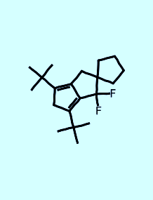 CC(C)(C)C1=C2CC3(CCCC3)C(F)(F)C2=C(C(C)(C)C)C1